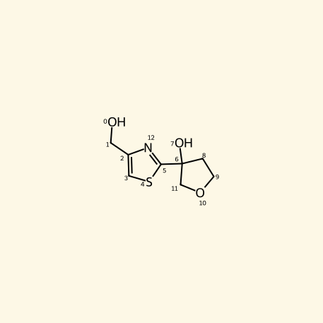 OCc1csc(C2(O)CCOC2)n1